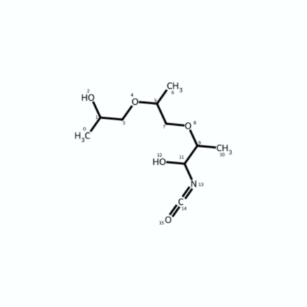 CC(O)COC(C)COC(C)C(O)N=C=O